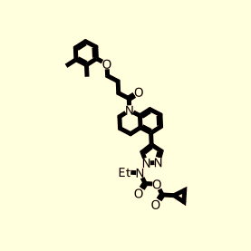 CCN(C(=O)OC(=O)C1CC1)n1cc(-c2cccc3c2CCCN3C(=O)CCCOc2cccc(C)c2C)cn1